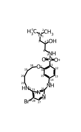 CN(C)CC(O)CNS(=O)(=O)c1ccc2cc1OCCCCNc1nc(ncc1Br)N2